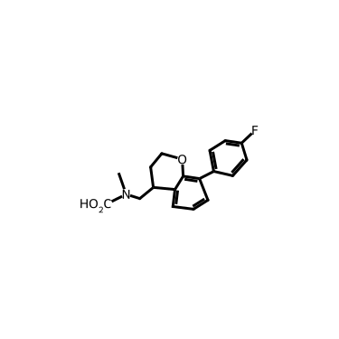 CN(CC1CCOc2c(-c3ccc(F)cc3)cccc21)C(=O)O